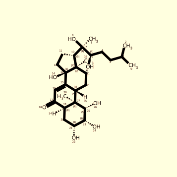 CC(C)CC[C@@H](O)[C@](C)(O)[C@H]1CC[C@@]2(O)C3=CC(=O)[C@@H]4C[C@@H](O)[C@@H](O)[C@@H](O)[C@]4(C)[C@H]3CC[C@]12C